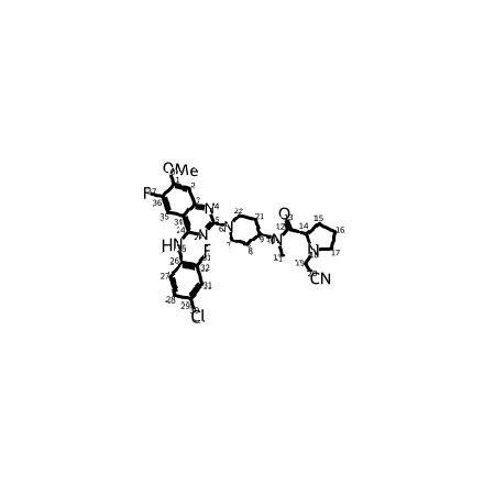 COc1cc2nc(N3CCC(N(C)C(=O)C4CCCN4CC#N)CC3)nc(Nc3ccc(Cl)cc3F)c2cc1F